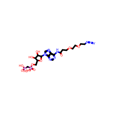 [N-]=[N+]=NCCOCCOCCC(=O)Nc1ncnc2c1ncn2C1OC(COP(=O)(O)CP(=O)(O)O)C(O)C1O